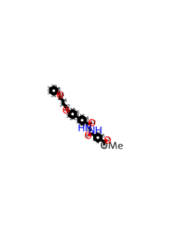 COC(=O)c1ccc(C(=O)NNC(=O)c2ccc(-c3ccc(OCCCCOc4ccccc4)cc3)cc2)cc1